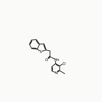 Cc1nccc(NC(=O)Cc2cc3ccccc3s2)c1Cl